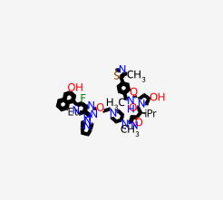 CCc1cccc2cc(O)cc(-c3ncc4c(N5CC6CCC(C5)N6)nc(OCCN5CCC(N(C)c6cc([C@@H](C(=O)N7C[C@H](O)C[C@H]7C(=O)N[C@@H](C)c7ccc(-c8scnc8C)cc7)C(C)C)on6)CC5)nc4c3F)c12